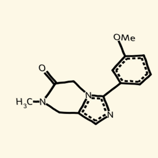 COc1cccc(-c2ncc3n2CC(=O)N(C)C3)c1